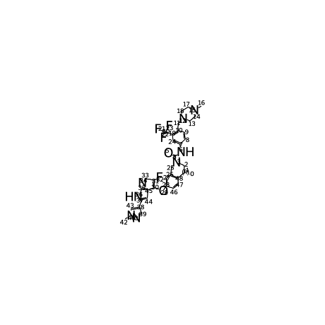 C[C@H]1CN(C(=O)Nc2ccc(CN3CCN(C)CC3)c(C(F)(F)F)c2)Cc2cc(Oc3c(F)cnc4[nH]c(-c5cnn(C)c5)cc34)ccc21